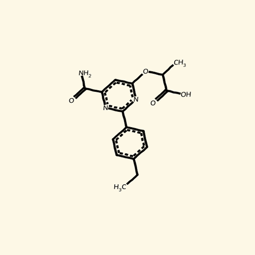 CCc1ccc(-c2nc(OC(C)C(=O)O)cc(C(N)=O)n2)cc1